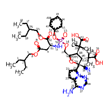 CCC(CC)COC(=O)C[C@H](NP(=O)(OC[C@@H]1O[C@@](C#N)(c2ccc3c(N)ncnn23)[C@@H](C(C)(C)C(=O)O)[C@@H]1C(C)(C)C(=O)O)Oc1ccccc1)C(=O)OCC(CC)CC